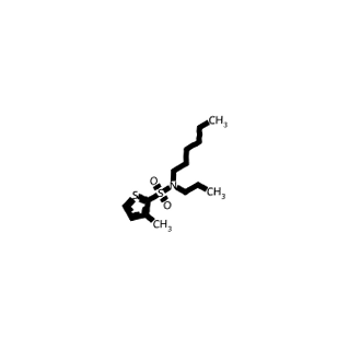 CCCCCCN(CCC)S(=O)(=O)c1sccc1C